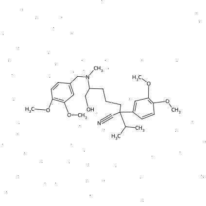 COc1ccc(CN(C)C(CO)CCCC(C#N)(c2ccc(OC)c(OC)c2)C(C)C)cc1OC